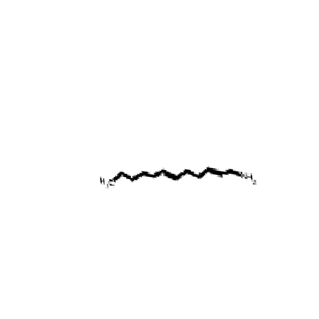 CCCCCC=CCCC=CCN